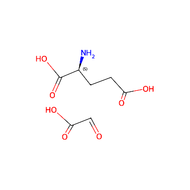 N[C@@H](CCC(=O)O)C(=O)O.O=CC(=O)O